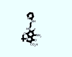 CC1(C)COc2c(NCCNc3ccccn3)c(F)c(N)c3c(=O)c(C(=O)O)cn1c23